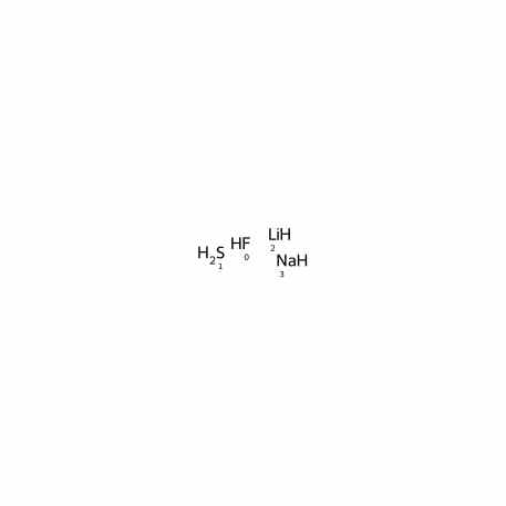 F.S.[LiH].[NaH]